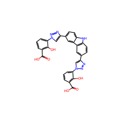 O=C(O)c1cccc(-n2cc(-c3ccc4[nH]c5ccc(-c6cn(-c7cccc(C(=O)O)c7O)nn6)cc5c4c3)nn2)c1O